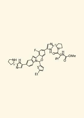 CCc1ccc(C2Oc3cc(-c4cnc([C@@H]5CCCN5C(=O)[C@@H](NC(=O)OC)C(C)C)[nH]4)cc(F)c3-c3cc4cc(-c5cnc([C@@H]6CCCN6)[nH]5)ccc4n32)s1